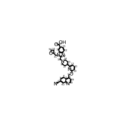 N#Cc1ccc2c(COc3cccc(C4CCN(Cc5nc6ccc(C(=O)O)cc6n5CC5CCO5)CC4)n3)ccnc2c1